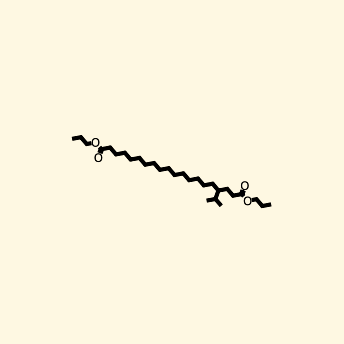 CCCOC(=O)CCCCCCCCCCCCCCCC(CCC(=O)OCCC)C(C)C